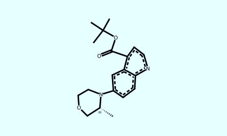 C[C@@H]1COCCN1c1ccc2nccc(C(=O)OC(C)(C)C)c2c1